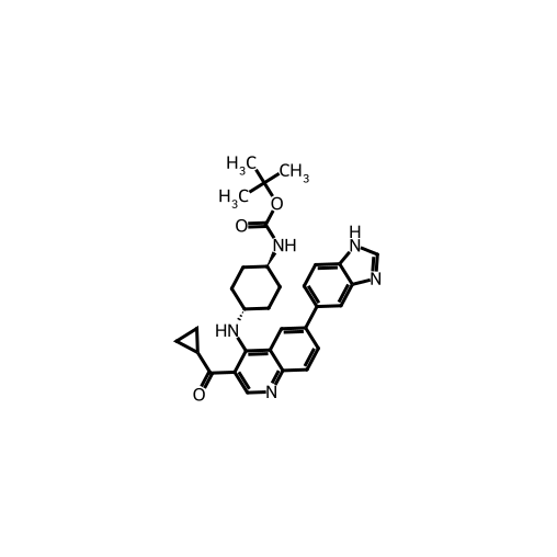 CC(C)(C)OC(=O)N[C@H]1CC[C@H](Nc2c(C(=O)C3CC3)cnc3ccc(-c4ccc5[nH]cnc5c4)cc23)CC1